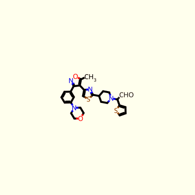 Cc1onc(-c2cccc(N3CCOCC3)c2)c1-c1csc(C2CCN(C(C=O)c3cccs3)CC2)n1